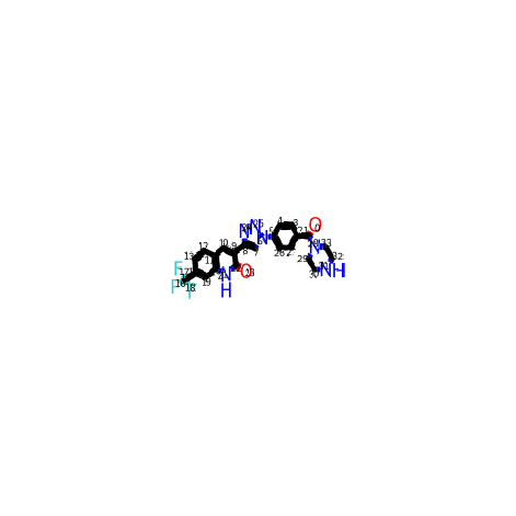 O=C(c1ccc(-n2cc(-c3cc4ccc(C(F)(F)F)cc4[nH]c3=O)nn2)cc1)N1CCNCC1